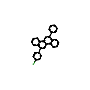 Brc1ccc(-c2cc3c4ccccc4c(-c4ccccc4)cc3c3ccccc23)cc1